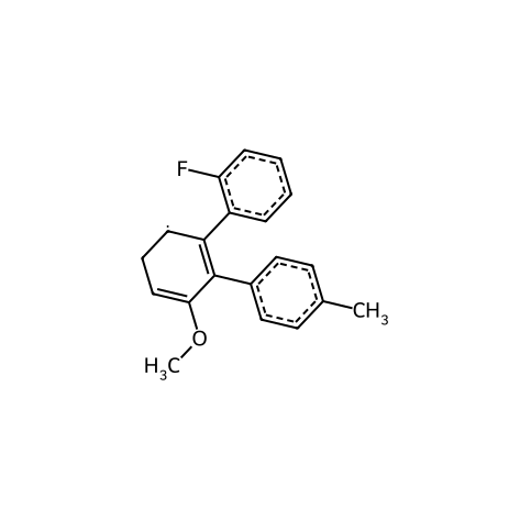 COC1=CC[CH]C(c2ccccc2F)=C1c1ccc(C)cc1